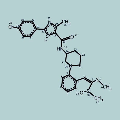 CS/C(=C/c1ccccc1N1CCCC(NC(=O)c2sc(-c3ccc(Cl)cc3)nc2C)C1)[S+](C)[O-]